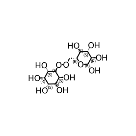 O[C@@H]1[C@@H](O)[C@H](O)[C@@H](OOC[C@H]2O[C@@H](O)[C@H](O)[C@@H](O)[C@@H]2O)[C@@H](O)[C@H]1O